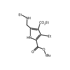 CCNCc1[nH]c(C(=O)OC(C)(C)C)c(CC)c1C(=O)OCC